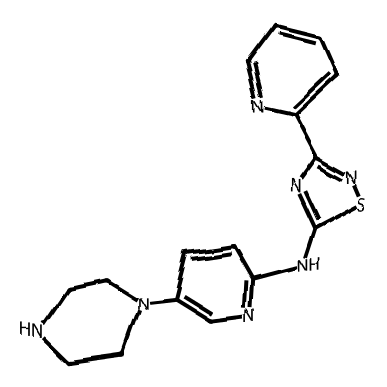 c1ccc(-c2nsc(Nc3ccc(N4CCNCC4)cn3)n2)nc1